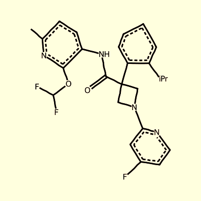 Cc1ccc(NC(=O)C2(c3ccccc3C(C)C)CN(c3cc(F)ccn3)C2)c(OC(F)F)n1